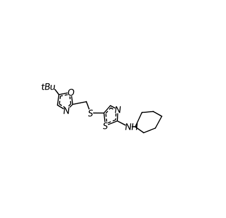 CC(C)(C)c1cnc(CSc2cnc(NC3CCCCC3)s2)o1